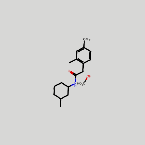 COc1ccc(CC(=O)NC2CCCC(C)C2)c(C)c1.O=C(O)O